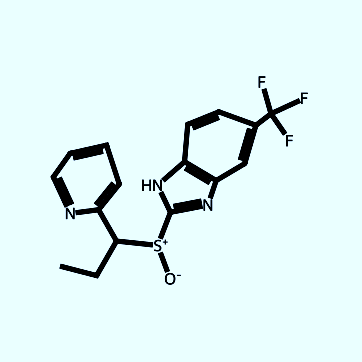 CCC(c1ccccn1)[S+]([O-])c1nc2cc(C(F)(F)F)ccc2[nH]1